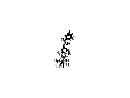 [2H]C1([2H])CC(CNC(=O)c2cc(F)cc(Cl)c2)CC([2H])([2H])N1CC(=O)NC(C)(C)C([2H])([2H])[2H]